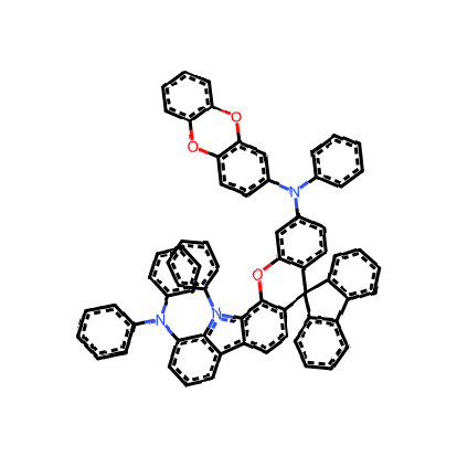 c1ccc(N(c2ccc3c(c2)Oc2ccccc2O3)c2ccc3c(c2)Oc2c(ccc4c5cccc(N(c6ccccc6)c6ccccc6)c5n(-c5ccccc5)c24)C32c3ccccc3-c3ccccc32)cc1